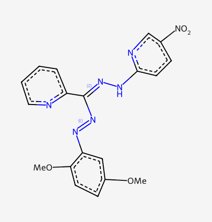 COc1ccc(OC)c(/N=N/C(=N\Nc2ccc([N+](=O)[O-])cn2)c2ccccn2)c1